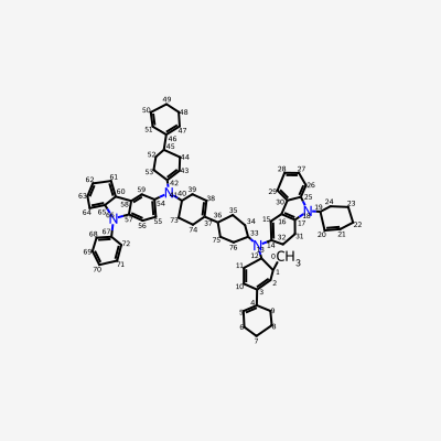 CC1C=C(C2=CCCCC2)C=CC1N(C1=Cc2c(n(C3C=CCCC3)c3ccccc23)CC1)C1CCC(C2=CCC(N(C3=CCC(C4=CCCC=C4)CC3)c3ccc4c(c3)c3ccccc3n4-c3ccccc3)CC2)CC1